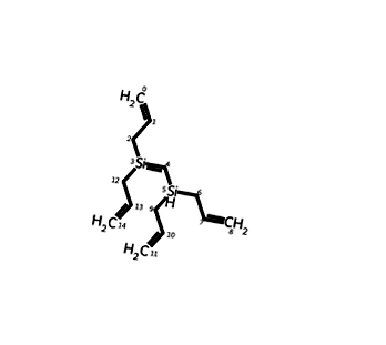 C=CC[Si](=C[SiH](CC=C)CC=C)CC=C